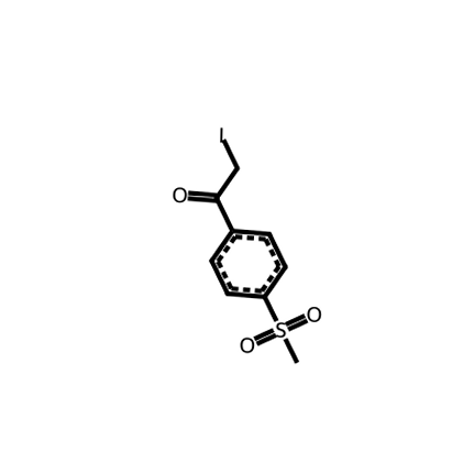 CS(=O)(=O)c1ccc(C(=O)CI)cc1